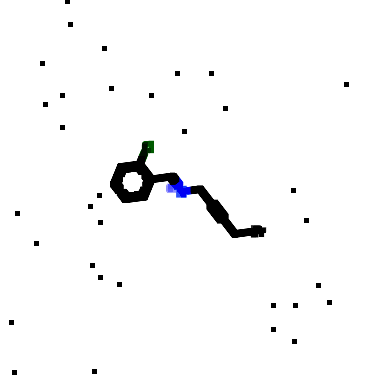 CC(C)CC#CC/N=C/c1ccccc1Cl